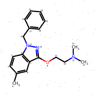 Cc1ccc2c(c1)c(OCCN(C)C)nn2Cc1ccccc1